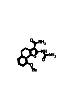 CCC(C)Oc1cccc2c1-c1sc(NC(N)=O)c(C(N)=O)c1CC2